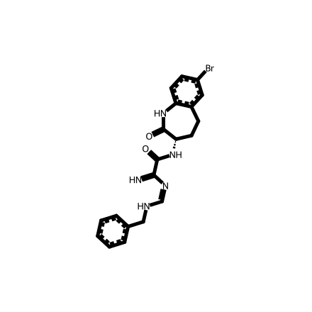 N=C(/N=C\NCc1ccccc1)C(=O)N[C@H]1CCc2cc(Br)ccc2NC1=O